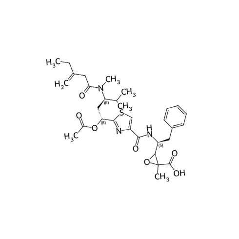 C=C(CC)CC(=O)N(C)[C@H](C[C@@H](OC(C)=O)c1nc(C(=O)N[C@@H](Cc2ccccc2)C2OC2(C)C(=O)O)cs1)C(C)C